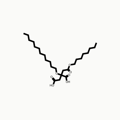 CCCCCCCCCCCCOC(CC(=O)O)(CC(=O)OCCCCCCCC)C(=O)O